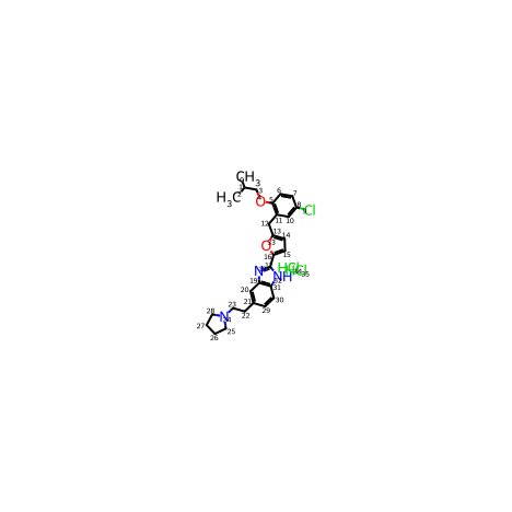 CC(C)COc1ccc(Cl)cc1Cc1ccc(-c2nc3cc(CCN4CCCC4)ccc3[nH]2)o1.Cl.Cl